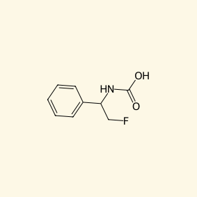 O=C(O)NC(CF)c1ccccc1